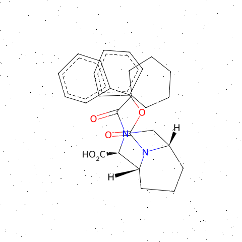 O=C(O)[C@@H]1[C@H]2CCC[C@@H](CN1C(=O)C1(c3ccccc3)CCCCC1)N2C(=O)Oc1ccccc1